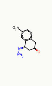 NN=C1CC(=O)Cc2ccc([N+](=O)[O-])cc21